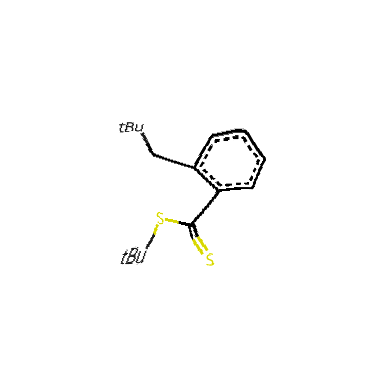 CC(C)(C)Cc1ccccc1C(=S)SC(C)(C)C